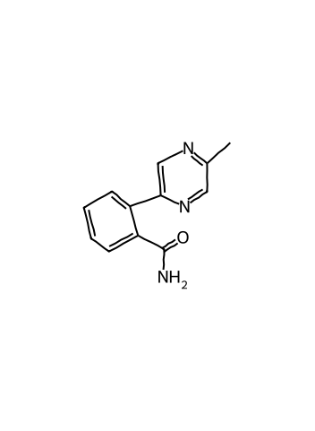 Cc1cnc(-c2ccccc2C(N)=O)cn1